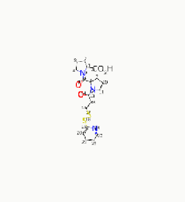 O=C(O)C1CCCN1C(=O)C1CCCN1C(=O)CCSSc1ccccn1